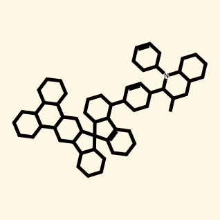 CC1CC2CCCCC2N(C2CC=CCC2)C1C1C=CC(C2CCCC3C2C2=C(CCCC2)C32C3CCCCC3C3CC4C5CCCCC5C5CCCCC5C4CC32)CC1